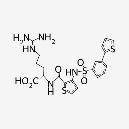 NC(N)NCCC[C@H](NC(=O)c1sccc1NS(=O)(=O)c1cccc(-c2cccs2)c1)C(=O)O